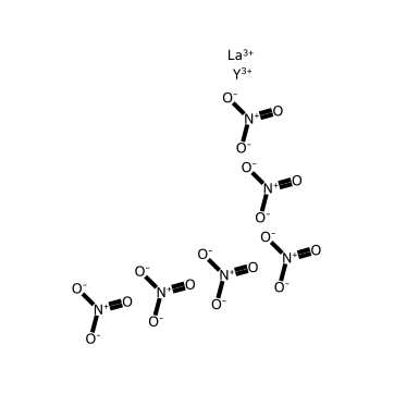 O=[N+]([O-])[O-].O=[N+]([O-])[O-].O=[N+]([O-])[O-].O=[N+]([O-])[O-].O=[N+]([O-])[O-].O=[N+]([O-])[O-].[La+3].[Y+3]